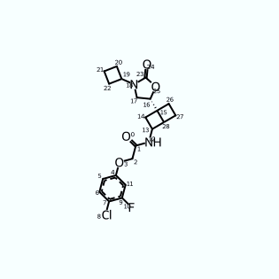 O=C(COc1ccc(Cl)c(F)c1)NC1CC2([C@@H]3CN(C4CCC4)C(=O)O3)CCC12